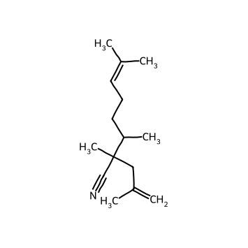 C=C(C)CC(C)(C#N)C(C)CCC=C(C)C